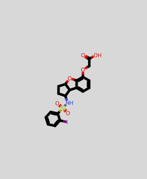 O=C(O)COc1cccc2c1OC1CCC(NS(=O)(=O)c3ccccc3I)C21